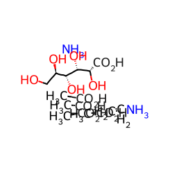 C=C.CC(=O)O.CC(=O)O.CC(=O)O.CC(=O)O.N.N.O=C(O)[C@H](O)[C@@H](O)[C@H](O)[C@H](O)CO